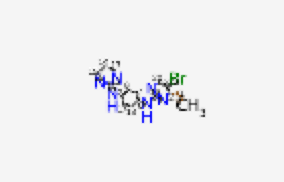 CSc1nc(Nc2ccc(Nc3ncccn3)cc2)ncc1Br